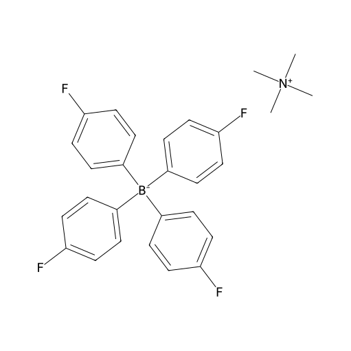 C[N+](C)(C)C.Fc1ccc([B-](c2ccc(F)cc2)(c2ccc(F)cc2)c2ccc(F)cc2)cc1